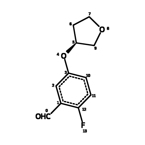 O=Cc1cc(O[C@H]2CCOC2)ccc1F